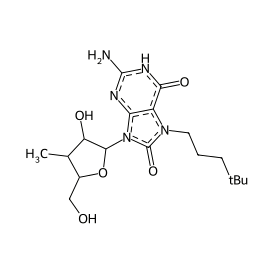 CC1C(CO)OC(n2c(=O)n(CCCC(C)(C)C)c3c(=O)[nH]c(N)nc32)C1O